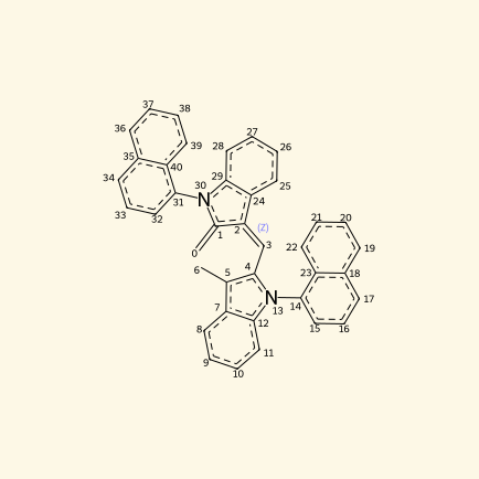 C=c1/c(=C\c2c(C)c3ccccc3n2-c2cccc3ccccc23)c2ccccc2n1-c1cccc2ccccc12